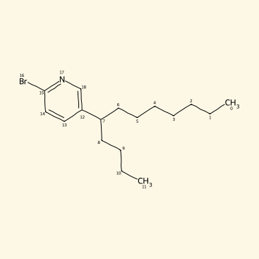 CCCCCCCC(CCCC)c1ccc(Br)nc1